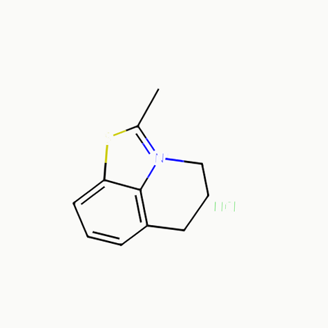 Cc1sc2cccc3c2[n+]1CCC3.Cl